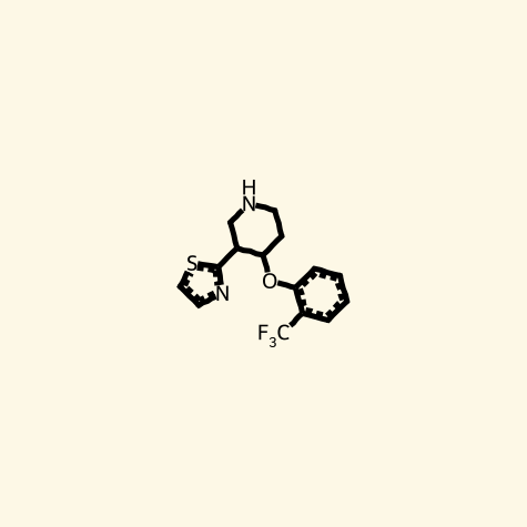 FC(F)(F)c1ccccc1OC1CCNCC1c1nccs1